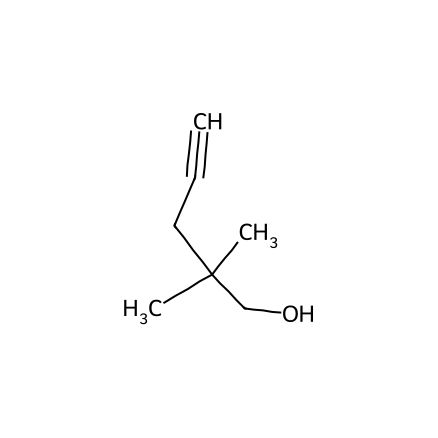 C#CCC(C)(C)CO